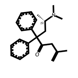 C=C(C)CC(=O)C(C[C@H](C)N(C)C)(c1ccccc1)c1ccccc1